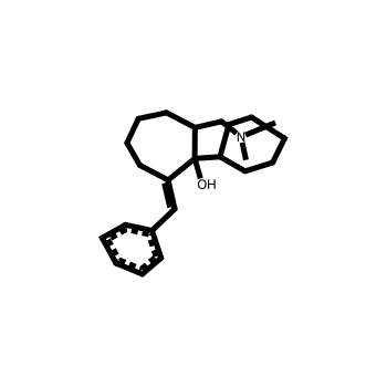 CN(C)CC1CCCCC(=Cc2ccccc2)C1(O)C1CCCCC1